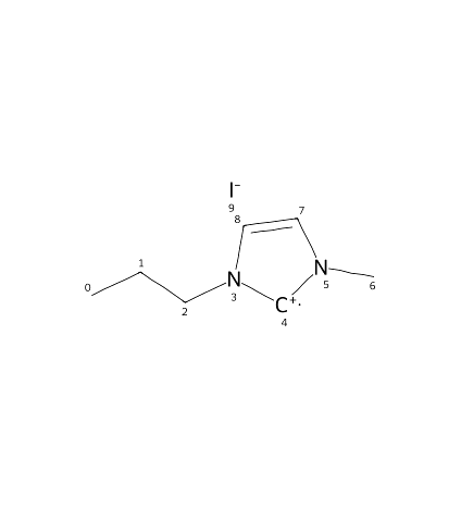 CCCN1[C+]N(C)C=C1.[I-]